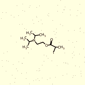 CC(I)C(=O)OCCN(C(C)C)C(C)C